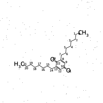 CCCCCCCCC1=CC(=O)C=C(CCCCCCCC)C1=O